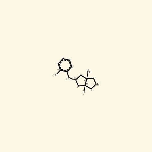 O[C@@]12CNC[C@@H]1C[C@@H](Oc1ccccc1F)C2